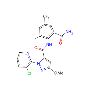 COc1cc(C(=O)Nc2c(C)cc(C(F)(F)F)cc2C(N)=O)n(-c2ncccc2Cl)n1